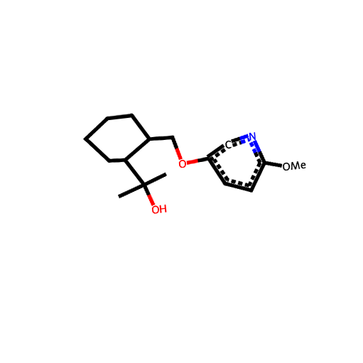 COc1ccc(OCC2CCCCC2C(C)(C)O)cn1